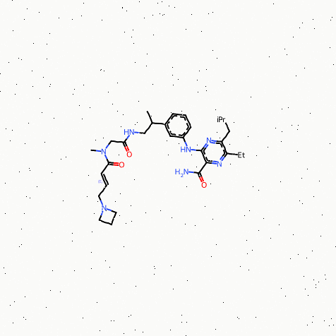 CCc1nc(C(N)=O)c(Nc2cccc(C(C)CNC(=O)CN(C)C(=O)/C=C/CN3CCC3)c2)nc1CC(C)C